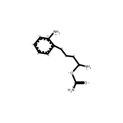 NC(=O)OC(N)CCCc1ccccc1N